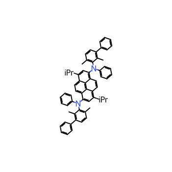 Cc1ccc(-c2ccccc2)c(C)c1N(c1ccccc1)c1cc(C(C)C)c2ccc3c(N(c4ccccc4)c4c(C)ccc(-c5ccccc5)c4C)cc(C(C)C)c4ccc1c2c43